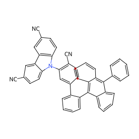 N#Cc1ccc2c(c1)c1cc(C#N)ccc1n2-c1cc(-c2ccccc2-c2c3ccccc3c(-c3ccccc3)c3ccccc23)ccc1C#N